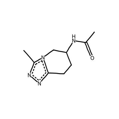 CC(=O)NC1CCc2nnc(C)n2C1